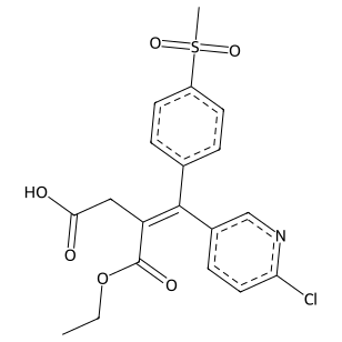 CCOC(=O)/C(CC(=O)O)=C(/c1ccc(S(C)(=O)=O)cc1)c1ccc(Cl)nc1